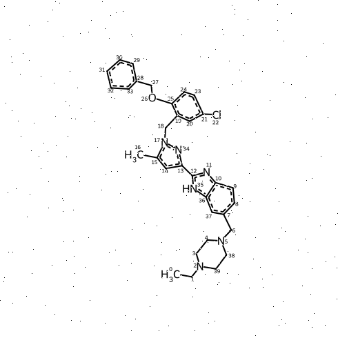 CCN1CCN(Cc2ccc3nc(-c4cc(C)n(Cc5cc(Cl)ccc5OCc5ccccc5)n4)[nH]c3c2)CC1